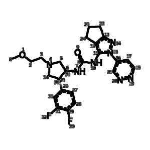 COCCN1C[C@@H](NC(=O)Nc2c3c(nn2-c2ccnnc2)CCC3)[C@H](c2ccc(F)c(F)c2)C1